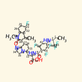 CCC(Nc1cc(F)c(C(=O)NC(Cc2ccc(-c3c(C)c4cc(F)ccc4n(C)c3=O)c3nccn23)C(=O)O)c(F)c1)C(F)(F)F